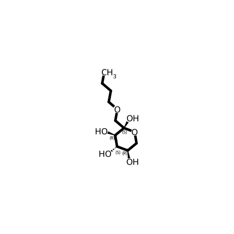 CCCCOC[C@]1(O)OC[C@@H](O)[C@H](O)[C@H]1O